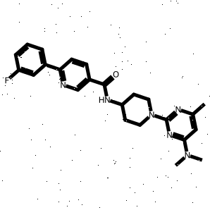 Cc1cc(N(C)C)nc(N2CCC(NC(=O)c3ccc(-c4cccc(F)c4)nc3)CC2)n1